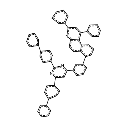 c1ccc(-c2ccc(-c3cc(-c4cccc(-c5cccc6c5ccc5nc(-c7ccccc7)cc(-c7ccccc7)c56)c4)nc(-c4ccc(-c5ccccc5)cc4)n3)cc2)cc1